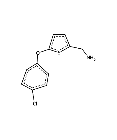 NCc1ccc(Oc2ccc(Cl)cc2)s1